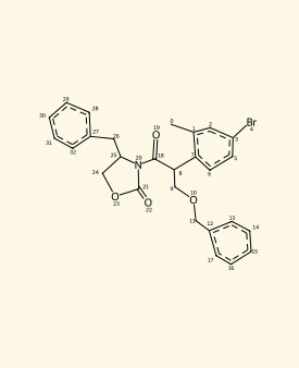 Cc1cc(Br)ccc1C(COCc1ccccc1)C(=O)N1C(=O)OCC1Cc1ccccc1